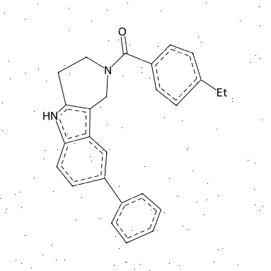 CCc1ccc(C(=O)N2CCc3[nH]c4ccc(-c5ccccc5)cc4c3C2)cc1